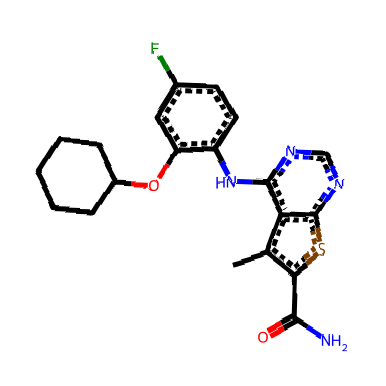 Cc1c(C(N)=O)sc2ncnc(Nc3ccc(F)cc3OC3CCCCC3)c12